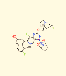 C#Cc1c(F)ccc2cc(O)cc(-c3ncc4c(N5CC6CCC(C5)N6S(=O)(=O)N(C)C)nc(OC[C@@]56CCCN5C[C@H](F)C6)nc4c3F)c12